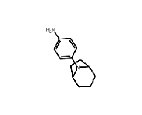 Nc1ccc(N2C3CCCC2CC3)cc1